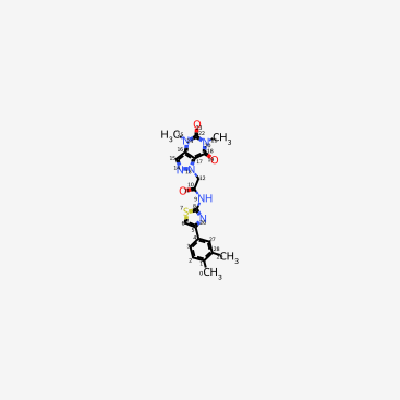 Cc1ccc(-c2csc(NC(=O)Cn3ncc4c3c(=O)n(C)c(=O)n4C)n2)cc1C